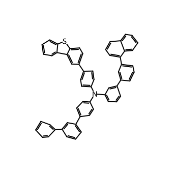 c1ccc(-c2cccc(-c3ccc(N(c4ccc(-c5ccc6sc7ccccc7c6c5)cc4)c4cccc(-c5cccc(-c6cccc7ccccc67)c5)c4)cc3)c2)cc1